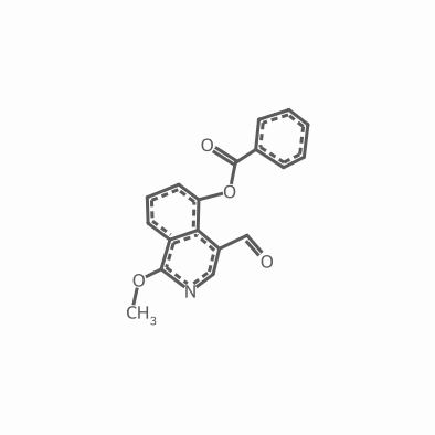 COc1ncc(C=O)c2c(OC(=O)c3ccccc3)cccc12